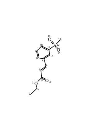 CCOC(=O)C=Cc1cccc(S(C)(=O)=O)c1